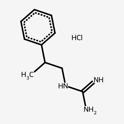 CC(CNC(=N)N)c1ccccc1.Cl